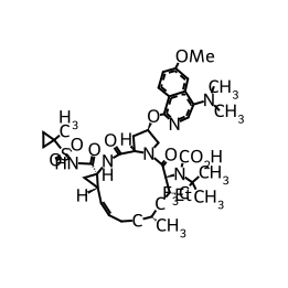 CC[C@@H]1C[C@H](C)CC/C=C\[C@@H]2C[C@@]2(C(=O)NS(=O)(=O)C2(C)CC2)NC(=O)[C@@H]2C[C@@H](Oc3ncc(N(C)C)c4cc(OC)ccc34)CN2C(=O)[C@H]1N(C(=O)O)C(C)(C)C(F)(F)F